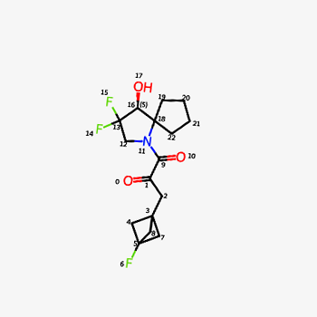 O=C(CC12CC(F)(C1)C2)C(=O)N1CC(F)(F)[C@@H](O)C12CCCC2